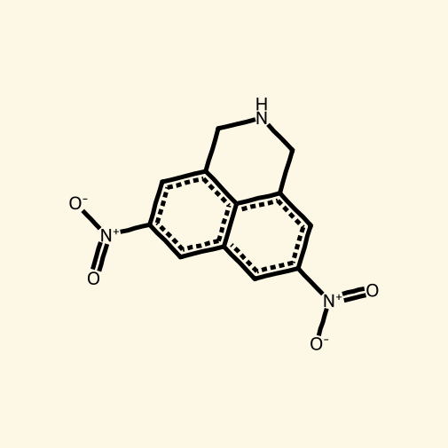 O=[N+]([O-])c1cc2c3c(cc([N+](=O)[O-])cc3c1)CNC2